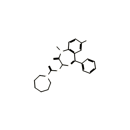 CN1C(=O)C(NC(=S)N2CCCCCC2)N=C(c2ccccc2)c2cc(Cl)ccc21